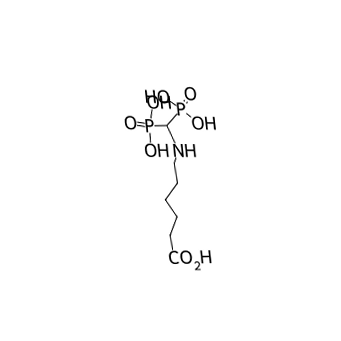 O=C(O)CCCCCNC(P(=O)(O)O)P(=O)(O)O